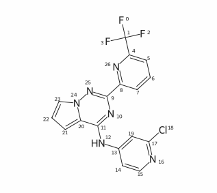 FC(F)(F)c1cccc(-c2nc(Nc3ccnc(Cl)c3)c3cccn3n2)n1